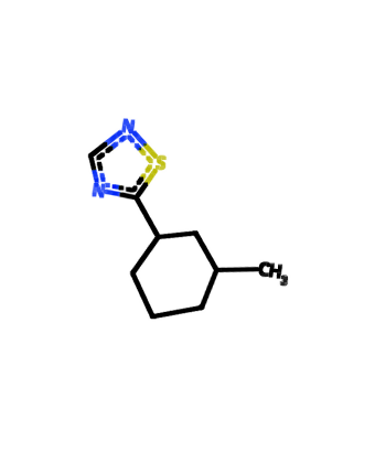 CC1CCCC(c2ncns2)C1